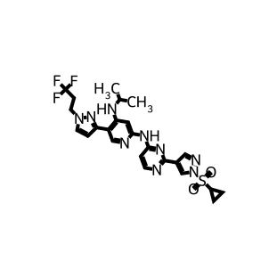 CC(C)Nc1cc(Nc2ccnc(-c3cnn(S(=O)(=O)C4CC4)c3)n2)ncc1-c1ccn(CCC(F)(F)F)n1